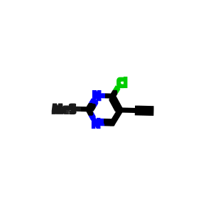 C#Cc1cnc(SC)nc1Cl